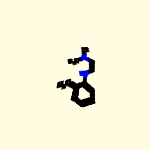 CCN(C)/C=C\Nc1ccccc1C